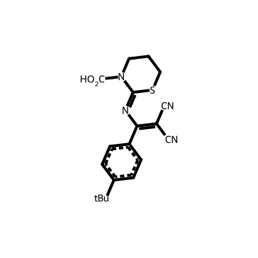 CC(C)(C)c1ccc(C(/N=C2\SCCCN2C(=O)O)=C(C#N)C#N)cc1